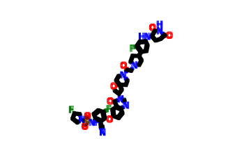 N#Cc1c(NS(=O)(=O)N2CC[C@@H](F)C2)ccc(F)c1Oc1ccc2ncn([C@H]3COC4(CCN(C(=O)CN5CCC(c6ccc(NC7CCC(=O)NC7=O)cc6F)CC5)CC4)C3)c(=O)c2c1